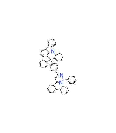 c1ccc(-c2nc(-c3ccc(C4(c5ccccc5)c5ccccc5-n5c6ccccc6c6cccc4c65)cc3)cc(-c3ccccc3-c3ccccc3)n2)cc1